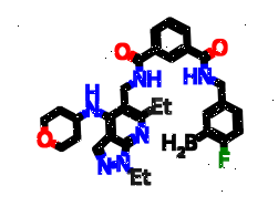 Bc1cc(CNC(=O)c2cccc(C(=O)NCc3c(CC)nc4c(cnn4CC)c3NC3CCOCC3)c2)ccc1F